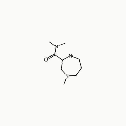 CN1CCC[N]C(C(=O)N(C)C)C1